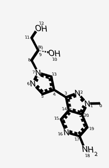 Cn1nc(-c2cnn(C[C@@H](O)CO)c2)c2cnc(N)cc21